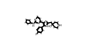 OC1(Cc2nc(-c3ccc(F)cc3)c(-c3ccnc(NC4CCCC4)n3)s2)CCNCC1